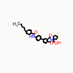 CCCCCc1ccc(C(=O)Nc2ccc(-c3ccc4c(c3)C(=O)N(C3(C(=O)O)CCCC3)C4)cc2)cc1